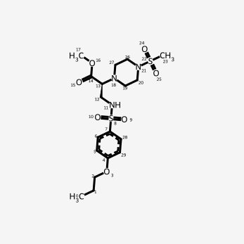 CCCOc1ccc(S(=O)(=O)NC[C@@H](C(=O)OC)N2CCN(S(C)(=O)=O)CC2)cc1